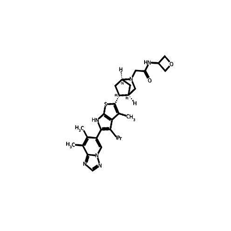 Cc1c(-c2[nH]c3sc([C@@H]4C[C@@H]5C[C@H]4CN5CC(=O)NC4COC4)c(C)c3c2C(C)C)cn2ncnc2c1C